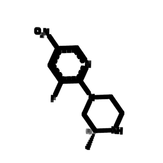 C[C@@H]1CN(c2ncc([N+](=O)[O-])cc2F)CCN1